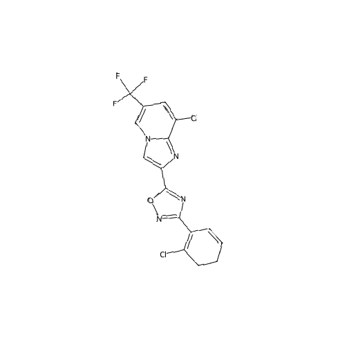 FC(F)(F)c1cc(Cl)c2nc(-c3nc(C4=C(Cl)CCC=C4)no3)cn2c1